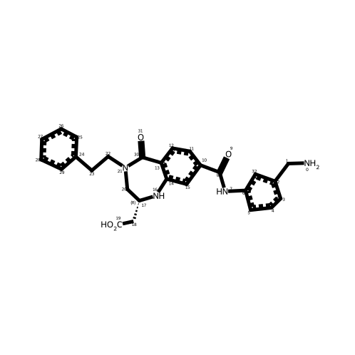 NCc1cccc(NC(=O)c2ccc3c(c2)N[C@H](CC(=O)O)CN(CCc2ccccc2)C3=O)c1